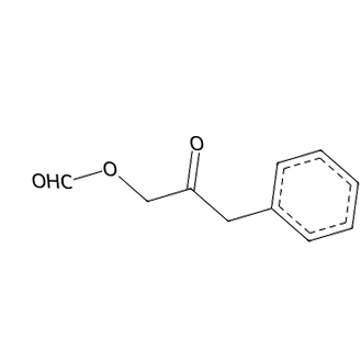 O=COCC(=O)Cc1ccccc1